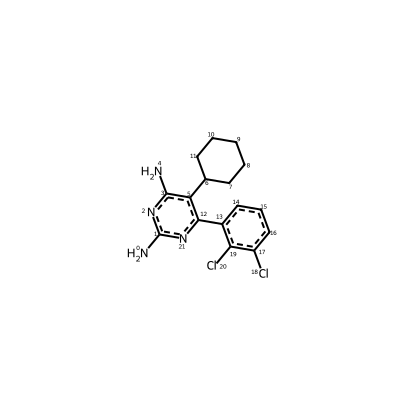 Nc1nc(N)c(C2CCCCC2)c(-c2cccc(Cl)c2Cl)n1